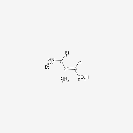 CCNC(C=C(C)C(=O)O)CC.N